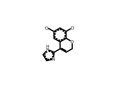 Clc1cc(Cl)c2c(c1)C(c1ncc[nH]1)=CCO2